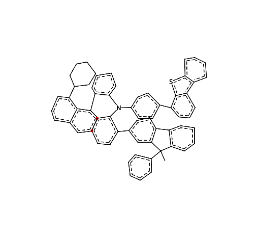 CC1(c2ccccc2)c2ccccc2-c2ccc(-c3ccccc3N(c3ccc(-c4cccc5c4sc4ccccc45)cc3)c3ccccc3-c3cccc4cccc(C5CCCCC5)c34)cc21